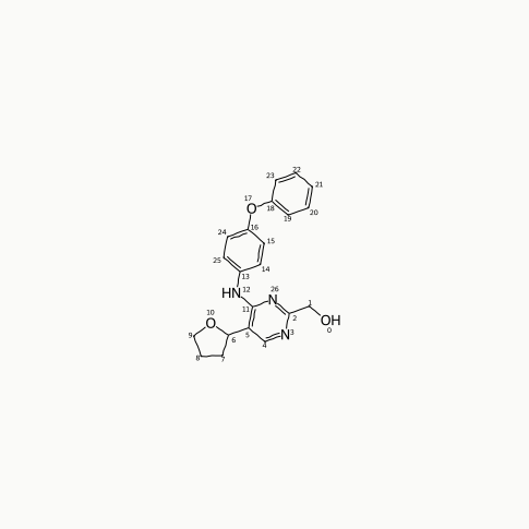 OCc1ncc(C2CCCO2)c(Nc2ccc(Oc3ccccc3)cc2)n1